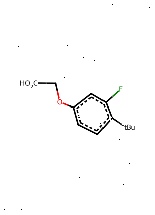 CC(C)(C)c1ccc(OCC(=O)O)cc1F